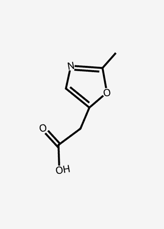 Cc1ncc(CC(=O)O)o1